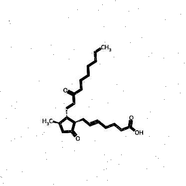 CCCCCCCC(=O)CC[C@H]1[C@H](C)CC(=O)[C@@H]1CC=CCCCC(=O)O